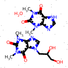 Cn1c(=O)c2[nH]cnc2n(C)c1=O.Cn1c(=O)c2c(ncn2CC(O)CO)n(C)c1=O.O